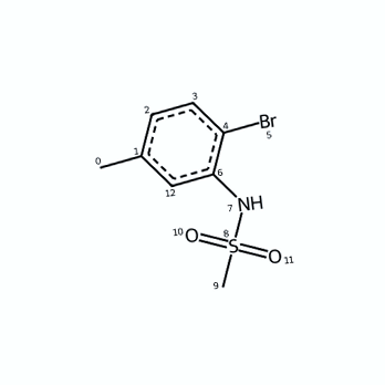 Cc1ccc(Br)c(NS(C)(=O)=O)c1